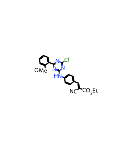 CCOC(=O)C(C#N)=Cc1ccc(Nc2nc(Cl)nc(-c3ccccc3OC)n2)cc1